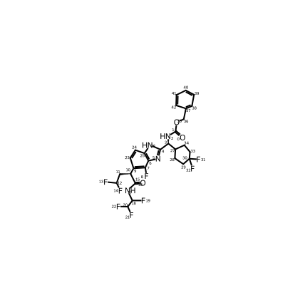 O=C(N[C@H](c1nc2c(F)c([C@H](CC(F)F)C(=O)NC(F)C(F)F)ccc2[nH]1)C1CCC(F)(F)CC1)OCc1ccccc1